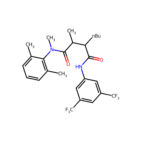 CCCCC(C(=O)Nc1cc(C(F)(F)F)cc(C(F)(F)F)c1)C(C)C(=O)N(C)c1c(C)cccc1C